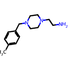 Cc1ccc(CN2CCN(CCN)CC2)cc1